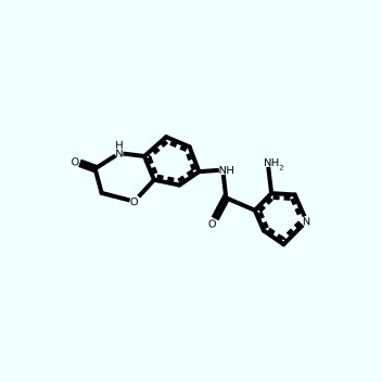 Nc1cnccc1C(=O)Nc1ccc2c(c1)OCC(=O)N2